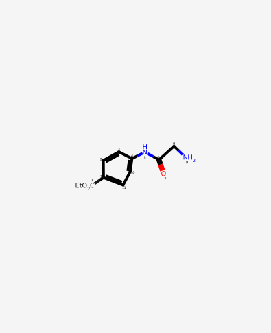 CCOC(=O)c1ccc(NC(=O)CN)cc1